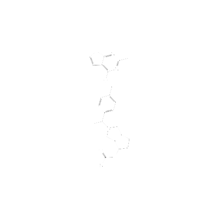 Cc1nc(OCc2ccc(C(C)N3CC4CCC(OC(N)=O)C4C3)cc2)c2ccsc2n1